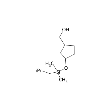 CC(C)C[Si](C)(C)OC1CCC(CO)C1